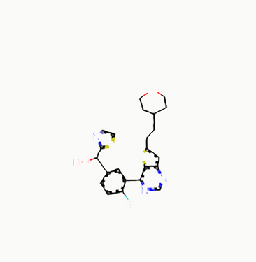 OC(c1ccc(F)c(-c2ncnc3cc(CCC4CCOCC4)sc23)c1)c1nccs1